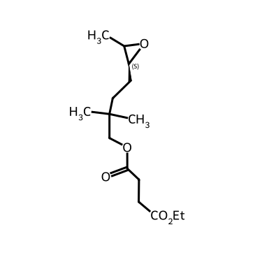 CCOC(=O)CCC(=O)OCC(C)(C)CC[C@@H]1OC1C